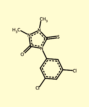 Cn1c(=O)n(-c2cc(Cl)cc(Cl)c2)c(=S)n1C